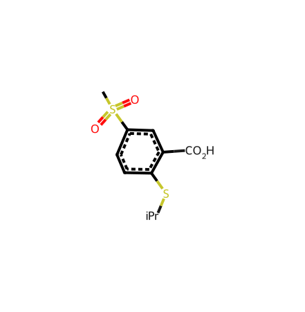 CC(C)Sc1ccc(S(C)(=O)=O)cc1C(=O)O